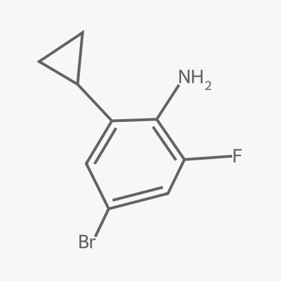 Nc1c(F)cc(Br)cc1C1CC1